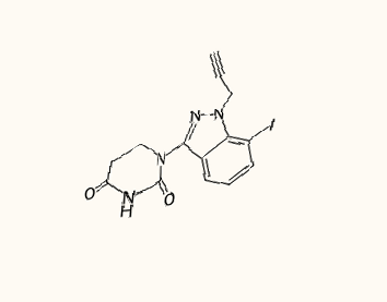 C#CCn1nc(N2CCC(=O)NC2=O)c2cccc(I)c21